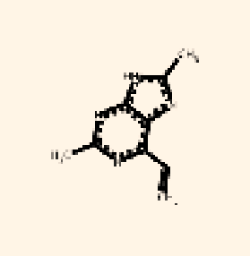 C=Cc1nc(C)nc2[nH]c(C)nc12